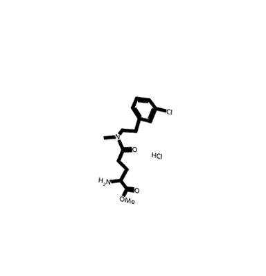 COC(=O)C(N)CCC(=O)N(C)CCc1cccc(Cl)c1.Cl